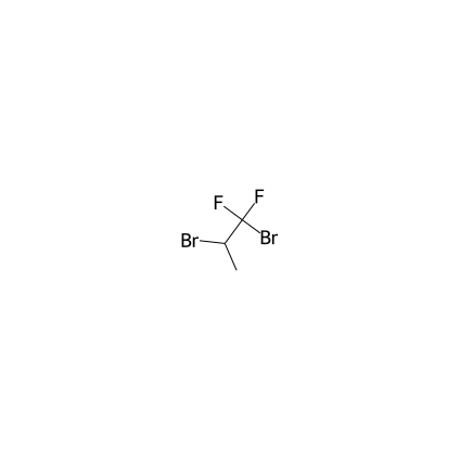 CC(Br)C(F)(F)Br